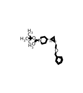 CC(C)(C)OC(=O)N1CCC([C@@H]2C[C@@H]2CCOCc2ccccc2)CC1